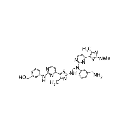 CNc1nc(C)c(-c2ccnc(N(CNc3nc(C)c(-c4ccnc(Nc5cccc(CO)c5)n4)s3)c3cccc(CN)c3)n2)s1